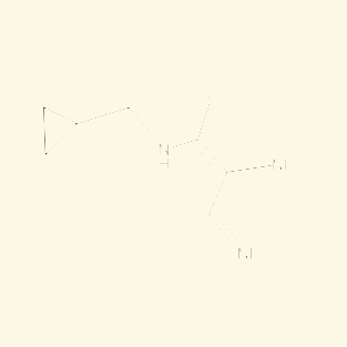 N=C/C(N)=C(/Cl)NCC1CC1